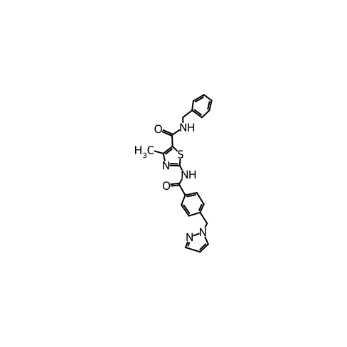 Cc1nc(NC(=O)c2ccc(Cn3cccn3)cc2)sc1C(=O)NCc1ccccc1